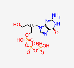 Nc1nc2c(ncn2C[C@@H](CCO)COP(=O)(O)OP(=O)(O)OP(=O)(O)O)c(=O)[nH]1